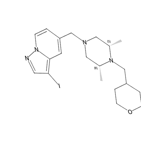 C[C@@H]1CN(Cc2ccn3ncc(I)c3c2)C[C@H](C)N1CC1CCOCC1